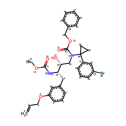 C=CCOc1cccc(C[C@H](NC(=O)OC(C)(C)C)[C@H](O)CN(C(=O)OCc2ccccc2)C2(c3cccc(Br)c3)CC2)c1